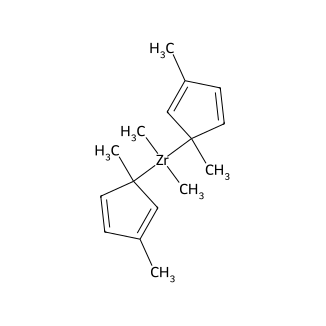 CC1=C[C](C)([Zr]([CH3])([CH3])[C]2(C)C=CC(C)=C2)C=C1